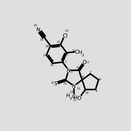 Cc1c(N2C(=O)C3(CCCC3O)N(C)C2=S)ccc(C#N)c1Cl